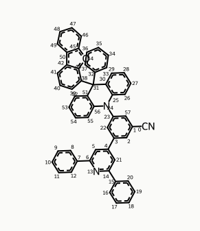 N#Cc1cc(-c2cc(-c3ccccc3)nc(-c3ccccc3)c2)cc(N2c3ccccc3C(c3ccccc3)(c3cccc4c3oc3ccccc34)c3ccccc32)c1